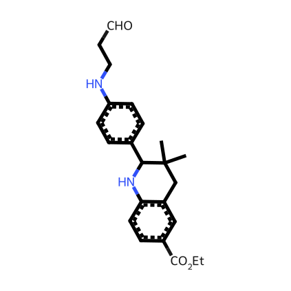 CCOC(=O)c1ccc2c(c1)CC(C)(C)C(c1ccc(NCCC=O)cc1)N2